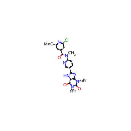 CCCn1c(=O)c2[nH]c(-c3ccc(N(C)C(=O)c4cc(Cl)nc(OC)c4)nc3)nc2n(CCC)c1=O